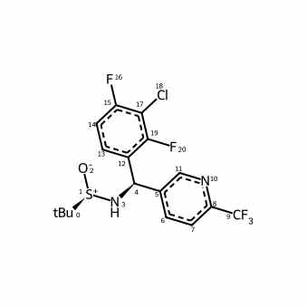 CC(C)(C)[S@@+]([O-])N[C@H](c1ccc(C(F)(F)F)nc1)c1ccc(F)c(Cl)c1F